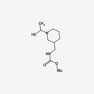 CC(S)N1CCCC(CNC(=O)OC(C)(C)C)C1